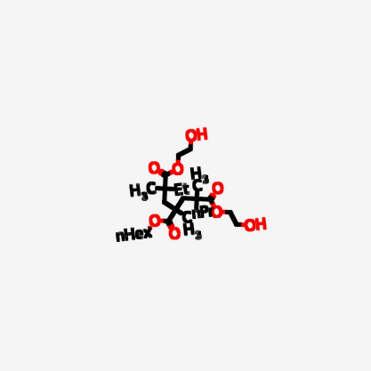 CCCCCCOC(=O)C(C)(CC(C)(CC)C(=O)OCCO)CC(C)(CCC)C(=O)OCCO